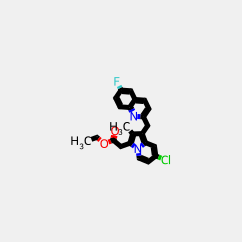 CCOC(=O)Cc1c(C)c(Cc2ccc3cc(F)ccc3n2)c2cc(Cl)ccn12